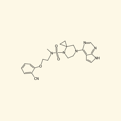 CN(CCOc1ccccc1C#N)S(=O)(=O)N1CCN(c2ncnc3[nH]ccc23)CC12CC2